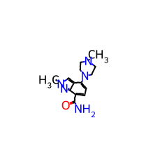 CN1CCN(c2ccc(C(N)=O)c3nn(C)cc23)CC1